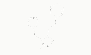 Cc1nnc(SCc2ccccc2)n1Cc1ccco1